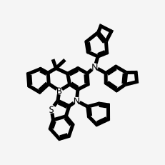 CC1(C)c2ccccc2B2c3sc4ccccc4c3N(c3ccccc3)c3cc(N(c4ccc5c(c4)CC5)c4ccc5c(c4)CC5)cc1c32